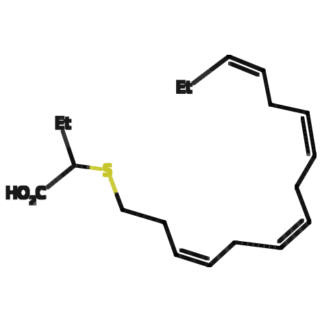 CC/C=C\C/C=C\C/C=C\C/C=C\CCSC(CC)C(=O)O